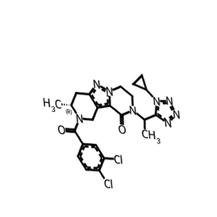 CC(c1nnnn1C1CC1)N1CCn2nc3c(c2C1=O)CN(C(=O)c1ccc(Cl)c(Cl)c1)[C@H](C)C3